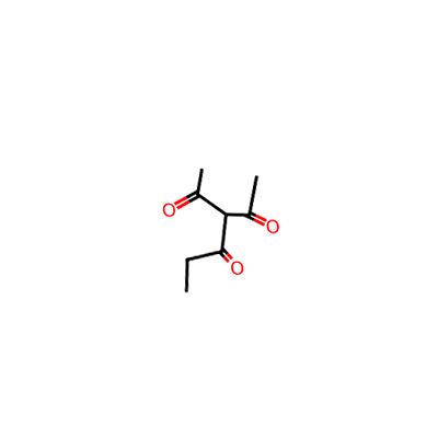 CCC(=O)C(C(C)=O)C(C)=O